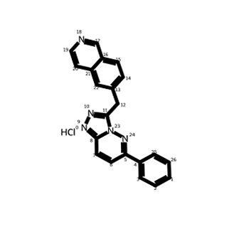 Cl.c1ccc(-c2ccc3nnc(Cc4ccc5cnccc5c4)n3n2)cc1